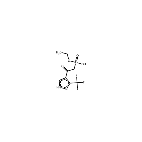 CCOP(=O)(O)CC(=O)c1c[nH]nc1C(F)(F)F